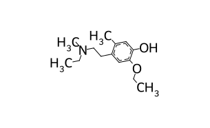 CCOc1cc(CCN(C)CC)c(C)cc1O